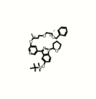 C[C@@H](COCC[C@H](C)Oc1cncc(-c2nn(C3CCCCO3)c3ccc(O[Si](C)(C)C(C)(C)C)cc23)c1)OCc1ccccc1